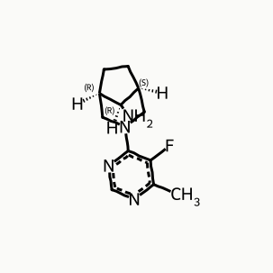 Cc1ncnc(N2C[C@H]3CC[C@@H](C2)[C@H]3N)c1F